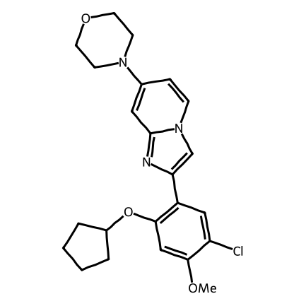 COc1cc(OC2CCCC2)c(-c2cn3ccc(N4CCOCC4)cc3n2)cc1Cl